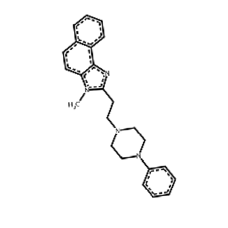 Cn1c(CCN2CCN(c3ccccc3)CC2)nc2c3ccccc3ccc21